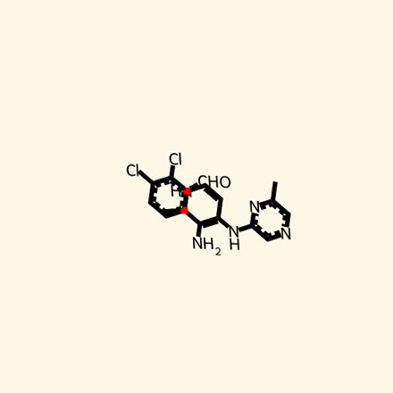 Cc1cncc(NC(/C=C\c2cccc(Cl)c2Cl)=C(\N)C(C)NC=O)n1